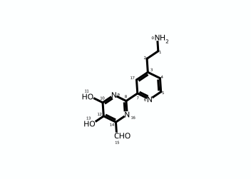 NCCc1ccnc(-c2nc(O)c(O)c(C=O)n2)c1